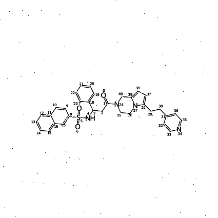 O=C(CC(NS(=O)(=O)c1ccc2ccccc2c1)c1ccccc1)N1CCn2c(CCc3ccncc3)ccc2C1